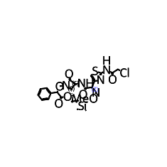 CO/N=C(\C(=O)N[C@@H]1C(=O)N(OC(C(=O)OCC[Si](C)(C)C)c2ccccc2)[C@H]1C)c1csc(NC(=O)CCl)n1